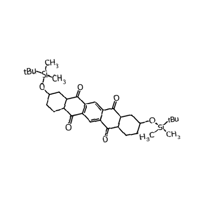 CC(C)(C)[Si](C)(C)OC1CCC2C(=O)c3cc4c(cc3C(=O)C2C1)C(=O)C1CC(O[Si](C)(C)C(C)(C)C)CCC1C4=O